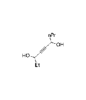 CCCC(O)C#CC(O)CC